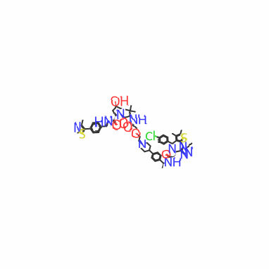 Cc1ncsc1-c1ccc(CNC(=O)[C@@H]2C[C@@H](O)CN2C(=O)[C@@H](NC(=O)COCCN2CCC(c3ccc([C@H](C)NC(=O)C[C@@H]4N=C(c5ccc(Cl)cc5)c5c(sc(C)c5C)-n5c(C)nnc54)cc3)CC2)C(C)(C)C)cc1